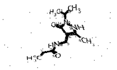 CCC(=O)NCc1c(C)[nH]n(C(C)C)c1=O